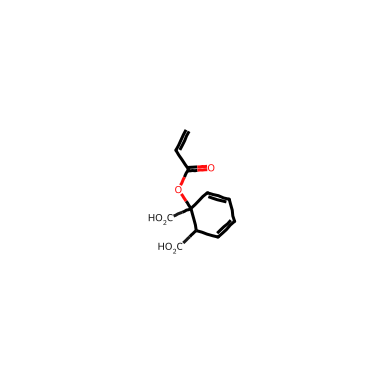 C=CC(=O)OC1(C(=O)O)C=CC=CC1C(=O)O